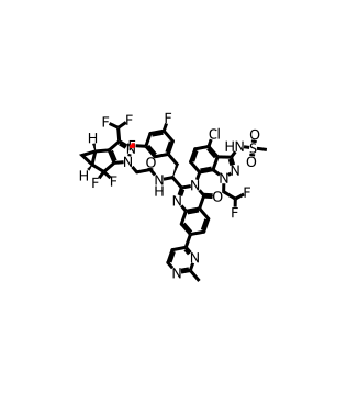 Cc1nccc(-c2ccc3c(=O)n(-c4ccc(Cl)c5c(NS(C)(=O)=O)nn(CC(F)F)c45)c([C@H](Cc4cc(F)cc(F)c4)NC(=O)Cn4nc(C(F)F)c5c4C(F)(F)[C@@H]4C[C@H]54)nc3c2)n1